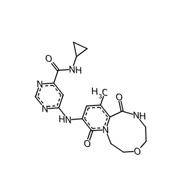 Cc1cc(Nc2cc(C(=O)NC3CC3)ncn2)c(=O)n2c1C(=O)NCCOCC2